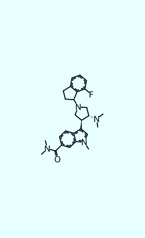 CN(C)C(=O)c1ccc2c([C@H]3CN(C4CCc5cccc(F)c54)C[C@@H]3N(C)C)cn(C)c2c1